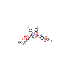 CC(C)c1c(S(=O)(=O)NCc2ccc(S(C)(=O)=O)cc2)c(-c2ccc(F)cc2)c(-c2ccc(F)cc2)n1CC[C@@H](O)C[C@@H](O)CC(=O)O